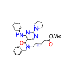 COC(=O)C/C=C/CN(Cc1ccccc1)C(=O)c1cnc(N2CCCC2)nc1Nc1ccccc1